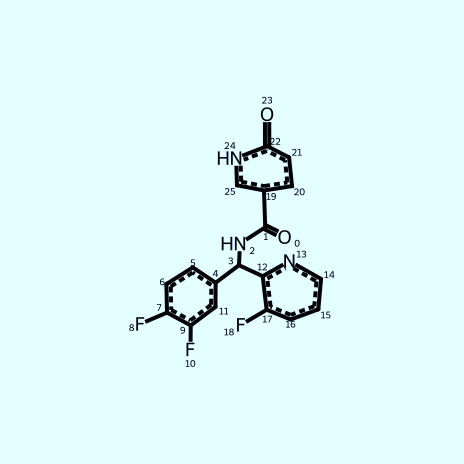 O=C(NC(c1ccc(F)c(F)c1)c1ncccc1F)c1ccc(=O)[nH]c1